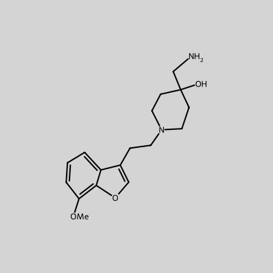 COc1cccc2c(CCN3CCC(O)(CN)CC3)coc12